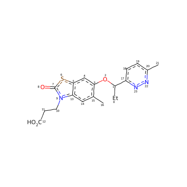 CCC(Oc1cc2sc(=O)n(CCC(=O)O)c2cc1C)c1ccc(C)nn1